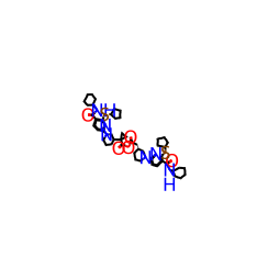 O=C(C[C@H]1CCCN(c2ccc(C(=O)NC3CCCCC3)c(SC3CCCC3)n2)C1)OC(=O)C1(C2CCCN(c3ccc(C(=O)NC4CCCCC4)c(SC4CCCC4)n3)C2)CC1